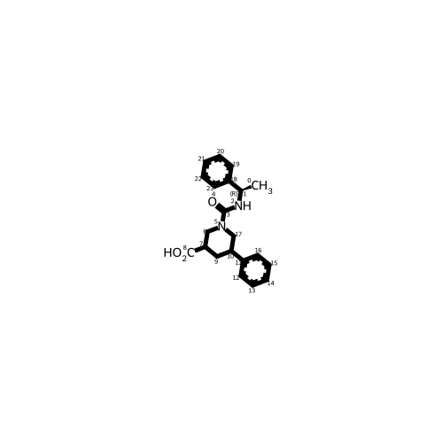 C[C@@H](NC(=O)N1CC(C(=O)O)CC(c2ccccc2)C1)c1ccccc1